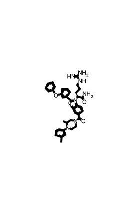 Cc1cccc(N2CCN(C(=O)c3ccc4c(c3)nc(-c3cccc(Oc5ccccc5)c3)n4[C@@H](CCCNC(=N)N)C(N)=O)CC2C)c1